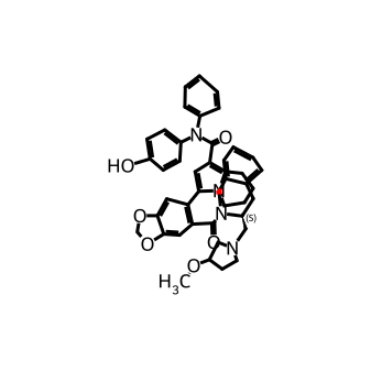 COC1CCN(C[C@@H]2Cc3ccccc3CN2C(=O)c2cc3c(cc2-c2cc(C(=O)N(c4ccccc4)c4ccc(O)cc4)c4n2CCCC4)OCO3)C1